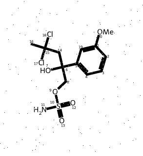 COc1cccc(C(O)(COS(N)(=O)=O)CC(C)(Cl)Cl)c1